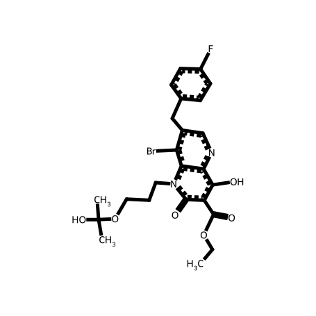 CCOC(=O)c1c(O)c2ncc(Cc3ccc(F)cc3)c(Br)c2n(CCCOC(C)(C)O)c1=O